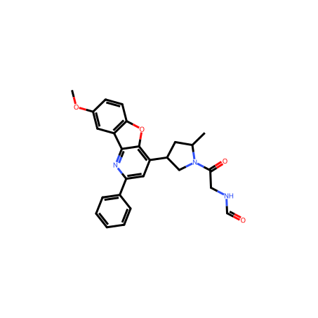 COc1ccc2oc3c(C4CC(C)N(C(=O)CNC=O)C4)cc(-c4ccccc4)nc3c2c1